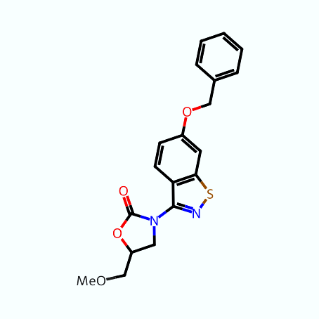 COCC1CN(c2nsc3cc(OCc4ccccc4)ccc23)C(=O)O1